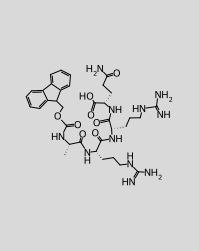 C[C@H](NC(=O)OCC1c2ccccc2-c2ccccc21)C(=O)N[C@@H](CCCNC(=N)N)C(=O)N[C@@H](CCCNC(=N)N)C(=O)N[C@@H](CCC(N)=O)C(=O)O